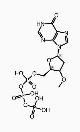 COC1C[C@H](n2cnc3c(=O)[nH]cnc32)O[C@@H]1COP(=O)(O)OP(=O)(O)OP(=O)(O)O